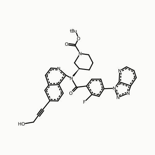 CC(C)(C)OC(=O)N1CCC[C@@H](N(C(=O)c2ccc(-n3nnc4cccnc43)cc2F)c2nccc3cc(C#CCO)ccc23)C1